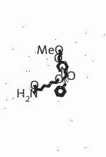 COCOC1CCN(C(=O)[C@H](Cc2ccccc2)OCCCCCC(N)=O)CC1